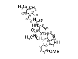 COc1ccccc1-c1c[nH]c2ncc(-c3ccc(NC(=O)N4CCN(C(=O)N(C)C)CC4)c(C(=O)N(C)C)c3)cc12